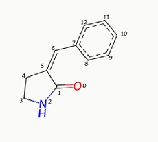 O=C1NCC/C1=C/c1ccccc1